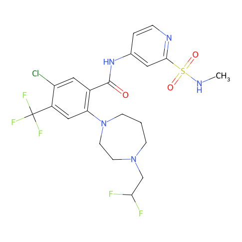 CNS(=O)(=O)c1cc(NC(=O)c2cc(Cl)c(C(F)(F)F)cc2N2CCCN(CC(F)F)CC2)ccn1